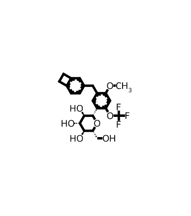 COc1cc(OC(F)(F)F)c([C@@H]2O[C@H](CO)[C@@H](O)[C@H](O)[C@H]2O)cc1Cc1ccc2c(c1)CC2